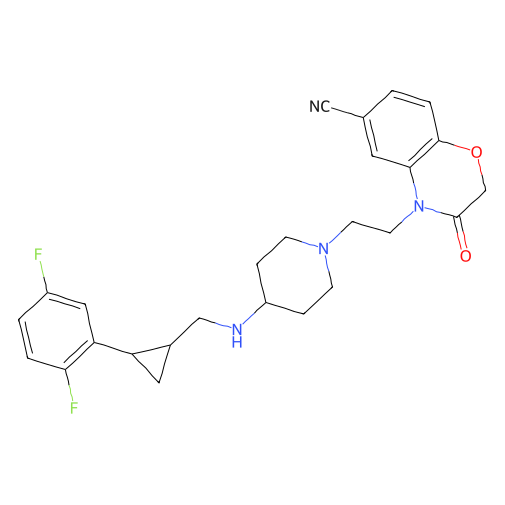 N#Cc1ccc2c(c1)N(CCN1CCC(NCC3CC3c3cc(F)ccc3F)CC1)C(=O)CO2